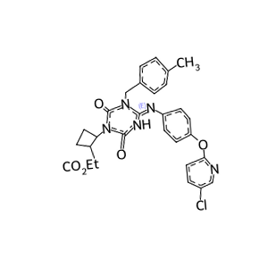 CCOC(=O)C1CCC1n1c(=O)[nH]/c(=N\c2ccc(Oc3ccc(Cl)cn3)cc2)n(Cc2ccc(C)cc2)c1=O